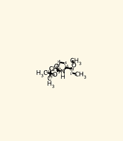 CC[C@@H](OC)[C@@H](CI)NC(=O)OC(C)(C)C